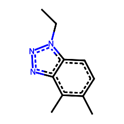 CCn1nnc2c(C)c(C)ccc21